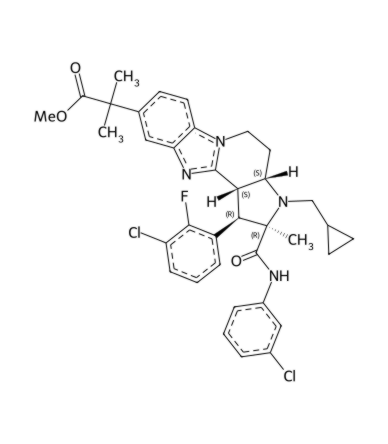 COC(=O)C(C)(C)c1ccc2c(c1)nc1n2CC[C@H]2[C@@H]1[C@H](c1cccc(Cl)c1F)[C@](C)(C(=O)Nc1cccc(Cl)c1)N2CC1CC1